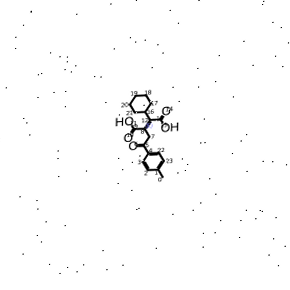 Cc1ccc(C(=O)C/C(C(=O)O)=C(\C(=O)O)C2CCCCC2)cc1